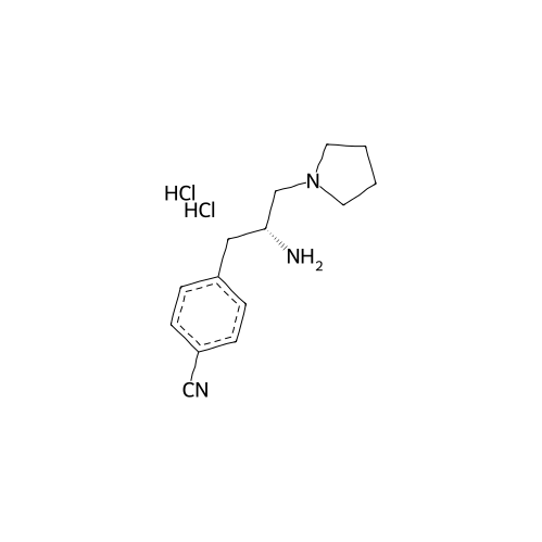 Cl.Cl.N#Cc1ccc(C[C@@H](N)CN2CCCC2)cc1